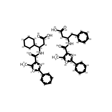 Cc1oc(-c2ccccc2)nc1C(=O)NC(CC(=O)O)C1CCCCC1.Cc1oc(-c2ccccc2)nc1C(=O)NC(CC(=O)O)Cc1ccccc1